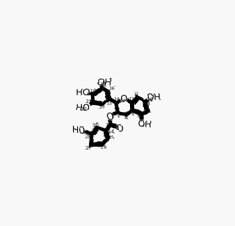 O=C(OC1Cc2c(O)cc(O)cc2OC1c1cc(O)c(O)c(O)c1)c1cccc(O)c1